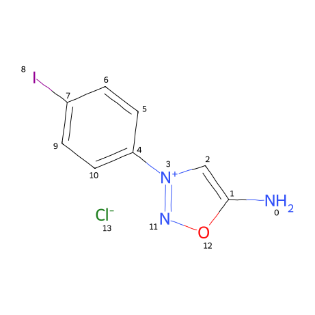 Nc1c[n+](-c2ccc(I)cc2)no1.[Cl-]